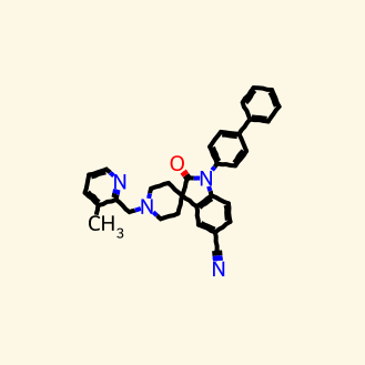 Cc1cccnc1CN1CCC2(CC1)C(=O)N(c1ccc(-c3ccccc3)cc1)c1ccc(C#N)cc12